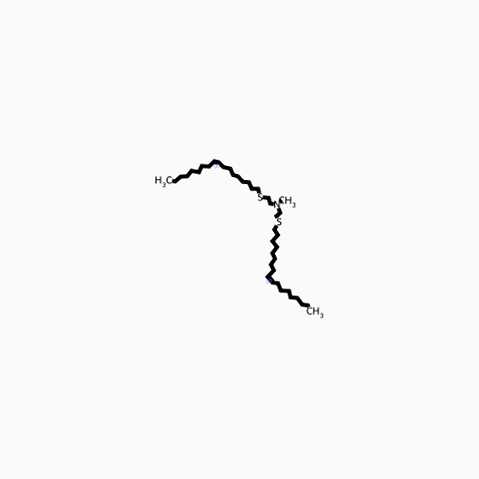 CCCCCCCC/C=C\CCCCCCCCSCCN(C)CCSCCCCCCCC/C=C\CCCCCCCC